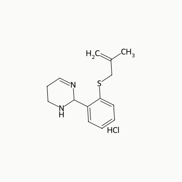 C=C(C)CSc1ccccc1C1N=CCCN1.Cl